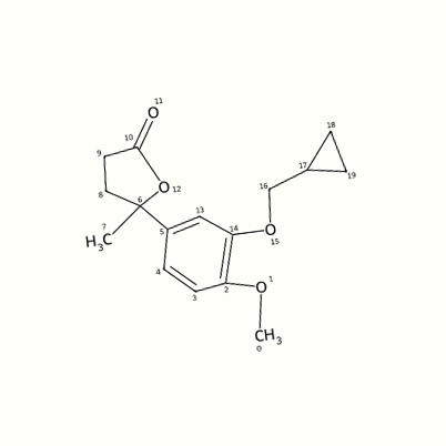 COc1ccc(C2(C)CCC(=O)O2)cc1OCC1CC1